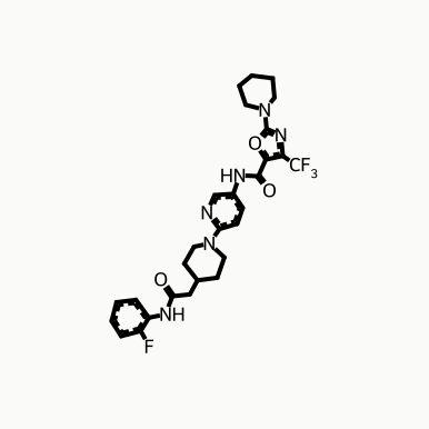 O=C(CC1CCN(c2ccc(NC(=O)c3oc(N4CCCCC4)nc3C(F)(F)F)cn2)CC1)Nc1ccccc1F